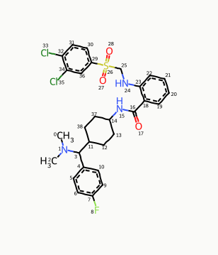 CN(C)C(c1ccc(F)cc1)C1CCC(NC(=O)c2ccccc2NCS(=O)(=O)c2ccc(Cl)c(Cl)c2)CC1